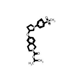 CC(C)OC(=O)N1CCc2cc(OC3CCN(c4ccc(S(C)(=O)=O)cc4)C3)ccc2C1